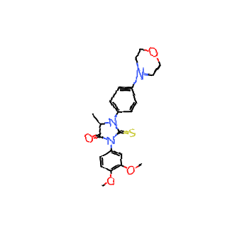 COc1ccc(N2C(=O)C(C)N(c3ccc(N4CCOCC4)cc3)C2=S)cc1OC